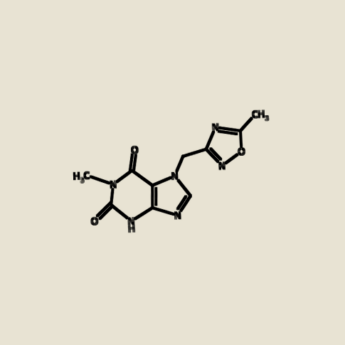 Cc1nc(Cn2cnc3[nH]c(=O)n(C)c(=O)c32)no1